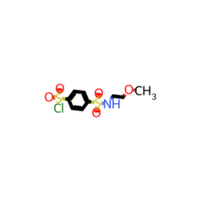 COCCNS(=O)(=O)c1ccc(S(=O)(=O)Cl)cc1